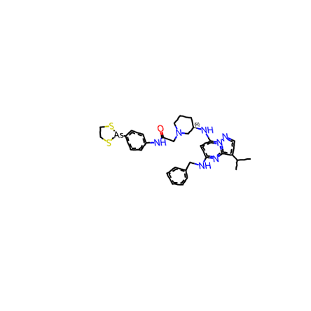 CC(C)c1cnn2c(N[C@@H]3CCCN(CC(=O)Nc4ccc([As]5SCCS5)cc4)C3)cc(NCc3ccccc3)nc12